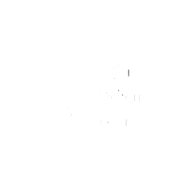 O=C(O)CCC(CC(=O)N(O)c1ccccc1)C(=O)O